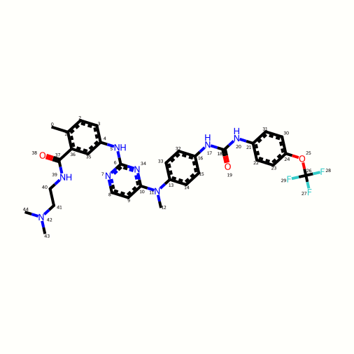 Cc1ccc(Nc2nccc(N(C)c3ccc(NC(=O)Nc4ccc(OC(F)(F)F)cc4)cc3)n2)cc1C(=O)NCCN(C)C